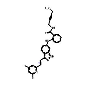 CC(=O)OCC#CCNC(=O)c1ccccc1Nc1ccc2c(/C=C/c3cc(C)cc(C)n3)n[nH]c2c1